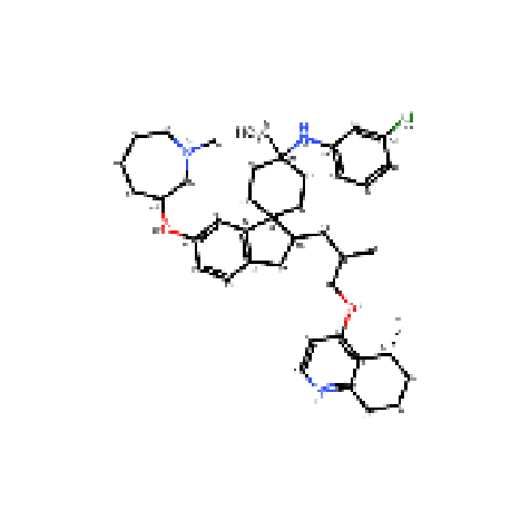 C[C@@H](COc1ccnc2c1[C@H](C)CCC2)CC1Cc2ccc(OC3CCCCN(C)C3)cc2C12CCC(Nc1cccc(Cl)c1)(C(=O)O)CC2